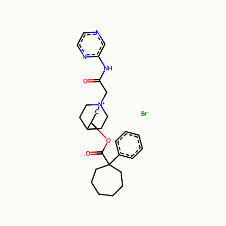 O=C(C[N+]12CCC(CC1)C(OC(=O)C1(c3ccccc3)CCCCCC1)C2)Nc1cnccn1.[Br-]